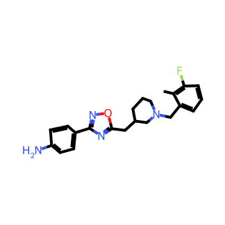 Cc1c(F)cccc1CN1CCCC(Cc2nc(-c3ccc(N)cc3)no2)C1